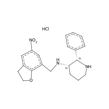 Cl.O=[N+]([O-])c1cc2c(c(CN[C@H]3CCCN[C@H]3c3ccccc3)c1)OCC2